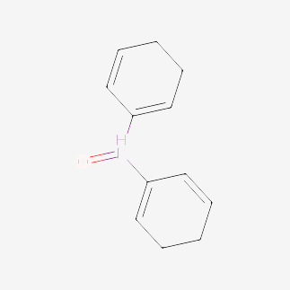 O=[PH](C1=CCCC=C1)C1=CCCC=C1